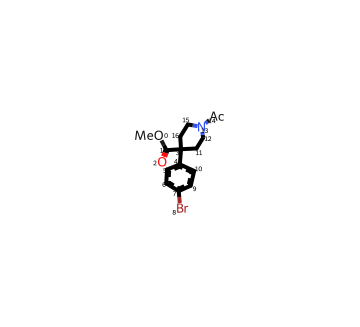 COC(=O)C1(c2ccc(Br)cc2)CCN(C(C)=O)CC1